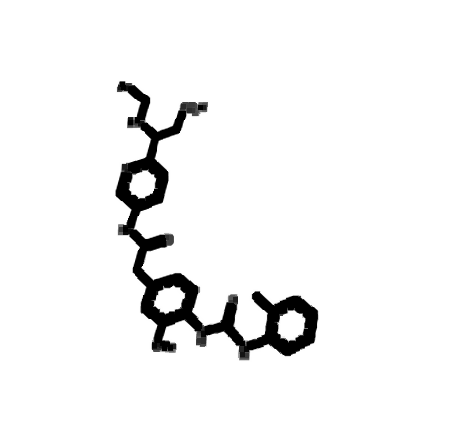 COc1cc(CC(=O)Nc2ccc(C(CC(=O)O)NCC(C)=O)nc2)ccc1NC(=O)Nc1ccccc1C